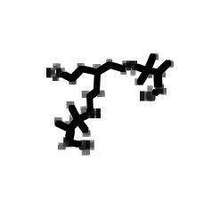 C/C(=N/O)C(C)(C)NCCC(CCN)CCNC(C)(C)/C(C)=N\O